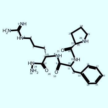 N=C(N)NCCC[C@H](NC(=O)[C@H](Cc1ccccc1)NC(=O)[C@H]1CCCN1)C(=O)NN